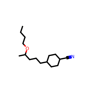 CCCCOC(C)CCCC1CCC(C#N)CC1